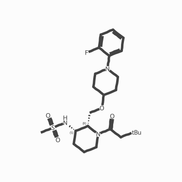 CC(C)(C)CC(=O)N1CCC[C@H](NS(C)(=O)=O)[C@@H]1COC1CCN(c2ccccc2F)CC1